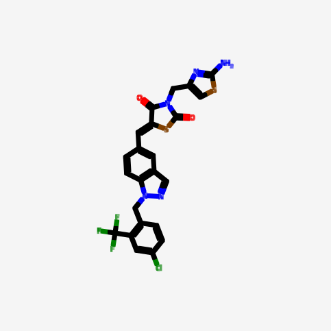 Nc1nc(CN2C(=O)SC(=Cc3ccc4c(cnn4Cc4ccc(Cl)cc4C(F)(F)F)c3)C2=O)cs1